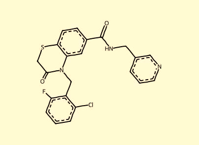 O=C(NCc1cccnc1)c1ccc2c(c1)N(Cc1c(F)cccc1Cl)C(=O)CS2